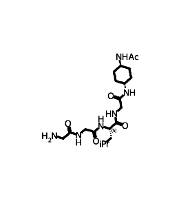 CC(=O)N[C@H]1CC[C@H](NC(=O)CNC(=O)[C@H](CC(C)C)NC(=O)CNC(=O)CN)CC1